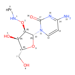 CCCNO[C@@H]1[C@H](O)[C@@H](CO)O[C@H]1n1ccc(N)nc1=O